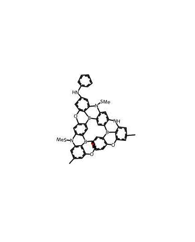 CSN1c2cc3c(cc2B2c4ccccc4Oc4cc(C)cc1c42)B1c2cc4c(cc2N(SC)c2cc(Nc5ccccc5)cc(c21)O3)Nc1cc(C)cc2c1B4c1ccccc1O2